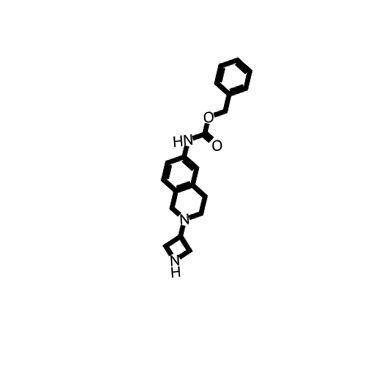 O=C(Nc1ccc2c(c1)CCN(C1CNC1)C2)OCc1ccccc1